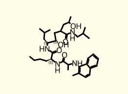 CCCC[C@H](NC(=O)C(C)Nc1c(C)ccc2ccccc12)C(=O)N[C@@H](CC(C)C)[C@@H](O)CC(CC(C)O)C(=O)NCC(C)C